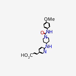 COc1ccc(NC(=O)N2CCC(Nc3ccc(C=CC(=O)O)cn3)CC2)cc1